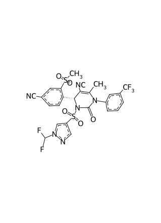 [C-]#[N+]C1=C(C)N(c2cccc(C(F)(F)F)c2)C(=O)N(S(=O)(=O)c2cnn(C(F)F)c2)[C@@H]1c1ccc(C#N)cc1S(C)(=O)=O